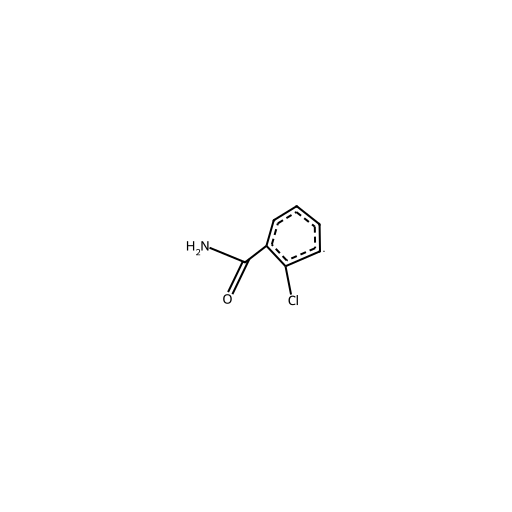 NC(=O)c1ccc[c]c1Cl